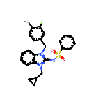 O=S(=O)(/N=c1\n(Cc2ccc(C(F)(F)F)c(F)c2)c2ccccc2n1CC1CC1)c1ccccc1